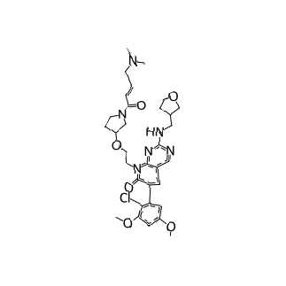 COc1cc(OC)c(Cl)c(-c2cc3cnc(NCC4CCOC4)nc3n(CCOC3CCN(C(=O)/C=C/CN(C)C)C3)c2=O)c1